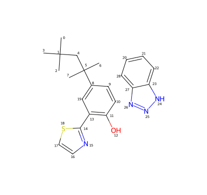 CC(C)(C)CC(C)(C)c1ccc(O)c(-c2nccs2)c1.c1ccc2[nH]nnc2c1